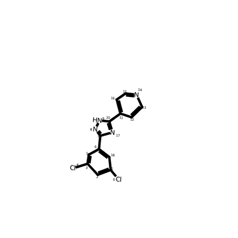 Clc1cc(Cl)cc(-c2n[nH]c(-c3ccncc3)n2)c1